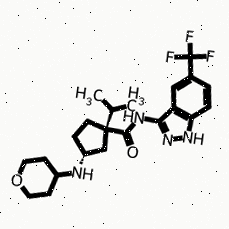 CC(C)[C@]1(C(=O)Nc2n[nH]c3ccc(C(F)(F)F)cc23)CC[C@@H](NC2CCOCC2)C1